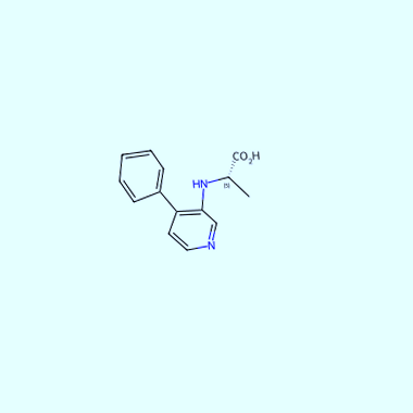 C[C@H](Nc1cnccc1-c1ccccc1)C(=O)O